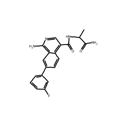 CC(NC(=O)c1cnc(N)c2cc(-c3cccc(F)c3)ccc12)C(N)=O